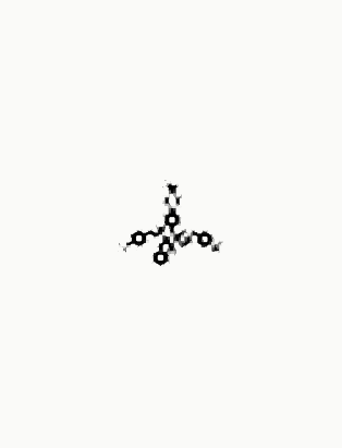 CC(=O)N1CCN(c2ccc(CN(C(=O)C=Cc3ccc(C#N)cc3)C(Cc3ccccc3)C(=O)N3CCN(Cc4ccc(N(C)C)cc4)CC3)cc2)CC1